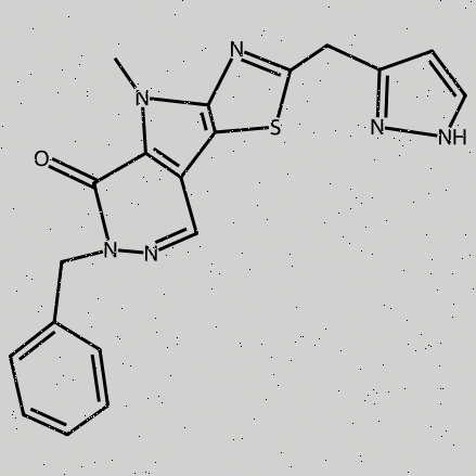 Cn1c2nc(Cc3cc[nH]n3)sc2c2cnn(Cc3ccccc3)c(=O)c21